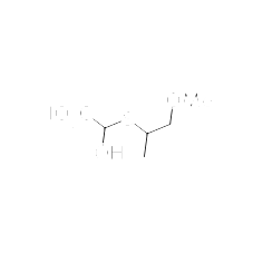 COCC(C)SC(O)C(=O)O